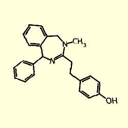 CN1Cc2ccccc2C(c2ccccc2)N=C1CCc1ccc(O)cc1